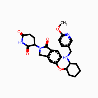 COc1ccc(CNC2CCCCC2Oc2ccc3c(c2)CN(C2CCC(=O)NC2=O)C3=O)cn1